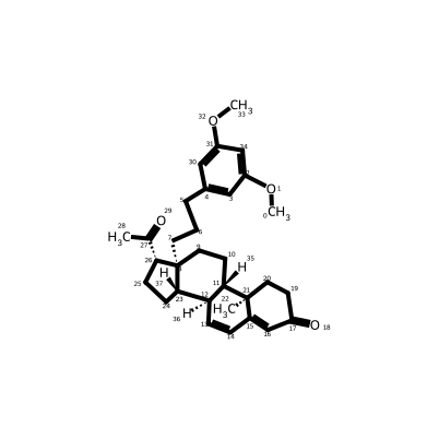 COc1cc(CCC[C@]23CC[C@H]4[C@@H](C=CC5=CC(=O)CC[C@@]54C)[C@@H]2CC[C@@H]3C(C)=O)cc(OC)c1